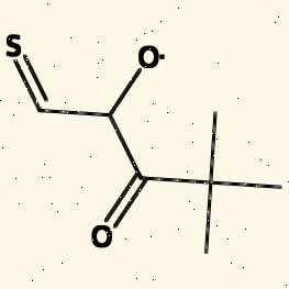 CC(C)(C)C(=O)C([O])C=S